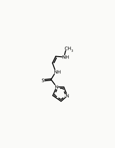 CN/C=C\NC(=S)n1ccnc1